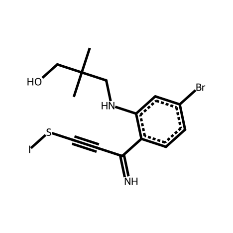 CC(C)(CO)CNc1cc(Br)ccc1C(=N)C#CSI